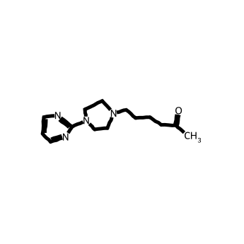 CC(=O)CCCCN1CCN(c2ncccn2)CC1